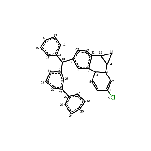 ClC1=CC2C(C=C1)c1cc(C(c3ccccc3)c3cccc(-c4ccccc4)c3)ccc1C1CC12